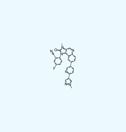 Cn1cc(-c2ccc(-c3ccc4ncc5c(c4c3)n(-c3ccc(F)cc3C#N)c(=O)n5C)cn2)cn1